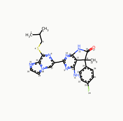 CC(C)CSc1nc(-c2nc(N)c3c(n2)NC(=O)C3(C)c2ccc(F)cc2)cn2ccnc12